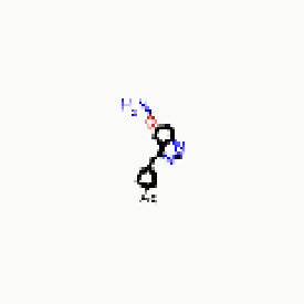 CC(=O)c1ccc(Cc2ncnc3ccc(OCN)cc23)cc1